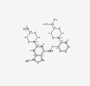 CC(C)n1cnc2c(NCc3cccnc3N3CCC(C(F)F)CC3)nc(N3CCC(N)CC3)nc21